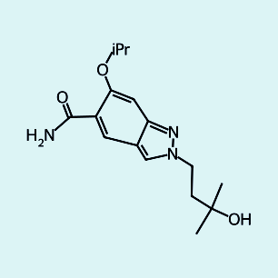 CC(C)Oc1cc2nn(CCC(C)(C)O)cc2cc1C(N)=O